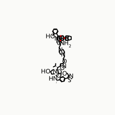 CC(C)[C@@H](C(=O)N1C[C@H](O)C[C@H]1C(=O)N[C@@H](C)c1ccc(-c2scnc2CO)cc1)c1cc(OCCN2CCN(CCOc3cc(N4C5CCC4CN(c4cc(-c6ccccc6O)nnc4N)C5)ccn3)CC2)no1